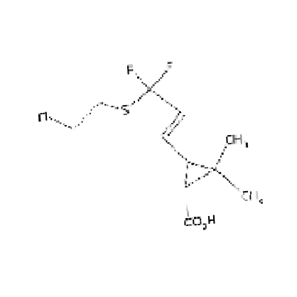 CC1(C)C(C=CC(F)(F)SCCCl)C1C(=O)O